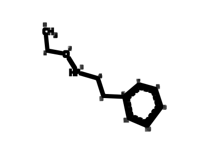 CCOPCCc1ccccc1